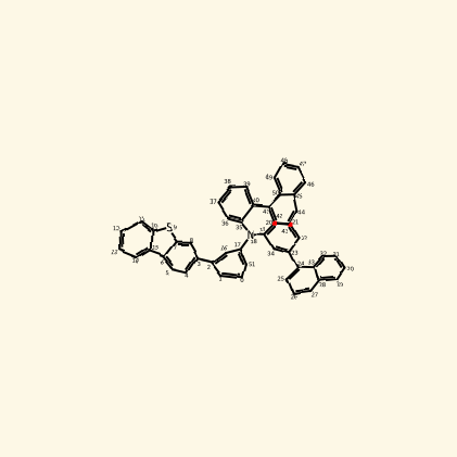 c1cc(-c2ccc3c(c2)sc2ccccc23)cc(N(c2cccc(-c3cccc4ccccc34)c2)c2ccccc2-c2cccc3ccccc23)c1